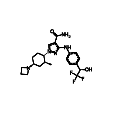 C[C@H]1C[C@@H](N2CCC2)CC[C@@H]1n1cc(C(N)=O)c(Nc2ccc([C@@H](O)C(F)(F)F)cc2)n1